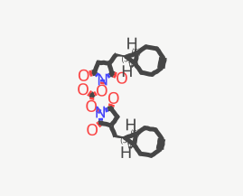 O=C(ON1C(=O)CC(C[C@@H]2[C@@H]3CCC#CCC[C@@H]32)C1=O)ON1C(=O)CC(C[C@@H]2[C@@H]3CCC#CCC[C@@H]32)C1=O